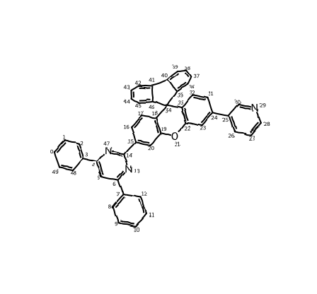 c1ccc(-c2cc(-c3ccccc3)nc(-c3ccc4c(c3)Oc3cc(-c5cccnc5)ccc3C43c4ccccc4-c4ccccc43)n2)cc1